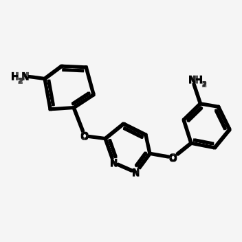 Nc1cccc(Oc2ccc(Oc3cccc(N)c3)nn2)c1